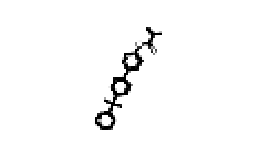 C=C(C)C(=O)Oc1ccc(-c2ccc(C(C)(C)c3ccccc3)cc2)cc1